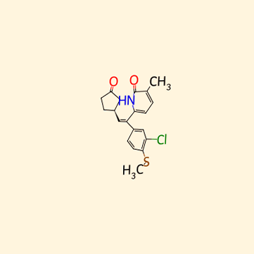 CSc1ccc(/C(=C/[C@H]2CCC(=O)C2)c2ccc(C)c(=O)[nH]2)cc1Cl